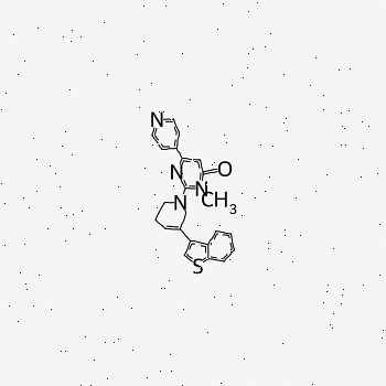 Cn1c(N2CCC=C(c3csc4ccccc34)C2)nc(-c2ccncc2)cc1=O